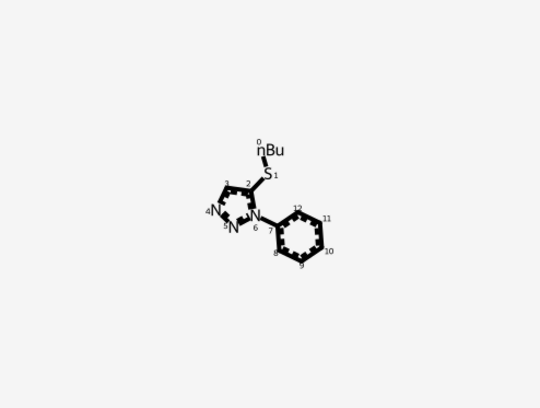 CCCCSc1cnnn1-c1ccccc1